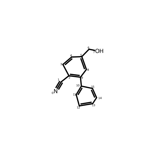 N#Cc1ccc(CO)cc1-c1ccccc1